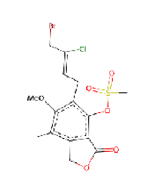 COc1c(C)c2c(c(OS(C)(=O)=O)c1CC=C(Cl)CBr)C(=O)OC2